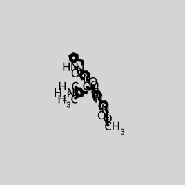 CCOC(=O)CN1CCC(N2CCN(C(=O)[C@@H](Cc3cc(C)c(N)c(C)c3)OC(=O)N3CCC(N4CCc5ccccc5NC4=O)CC3)CC2)CC1